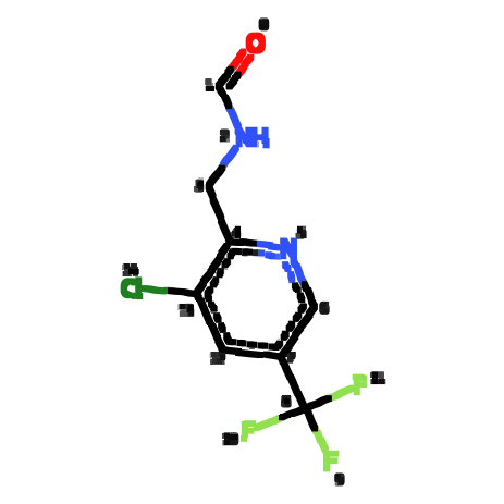 O=CNCc1ncc(C(F)(F)F)cc1Cl